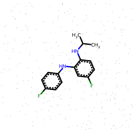 CC(C)Nc1ccc(F)cc1Nc1ccc(F)cc1